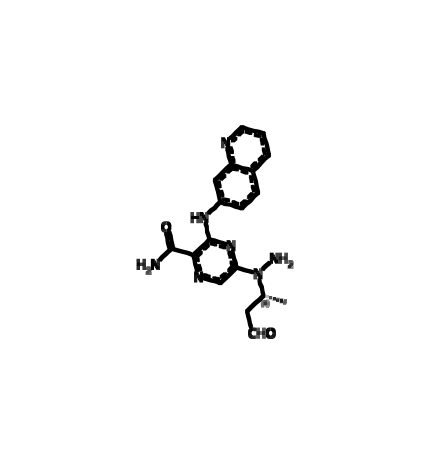 C[C@H](CC=O)N(N)c1cnc(C(N)=O)c(Nc2ccc3cccnc3c2)n1